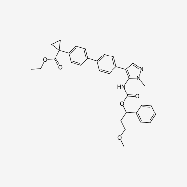 CCOC(=O)C1(c2ccc(-c3ccc(-c4cnn(C)c4NC(=O)OC(CCOC)c4ccccc4)cc3)cc2)CC1